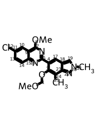 COCOc1c(-c2nc(OC)c3cc(Cl)ccc3n2)cc2cn(C)nc2c1C